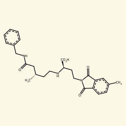 Cc1ccc2c(c1)C(=O)N(CC[C@@H](NCC[C@H](C)CC(=O)NCc1ccccc1)C(=O)O)C2=O